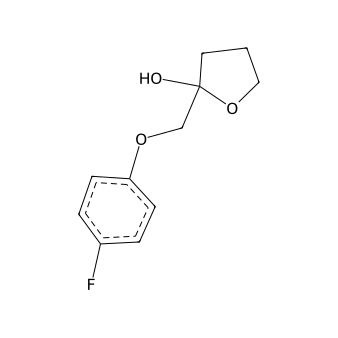 OC1(COc2ccc(F)cc2)CCCO1